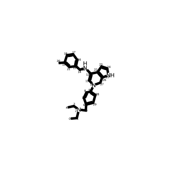 CCN(CC)Cc1ccc(N2C=C(NCc3cccc(C)c3)c3cc[nH]c3C2)cc1